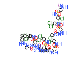 CNC(=O)c1n[nH]c2ccc(S(=O)(=O)Nc3ccc(Cl)c(Cl)c3)cc12.NC(=O)c1n[nH]c2ccc(S(=O)(=O)Nc3ccc(Cl)c(Cl)c3)cc12.O=C(Nc1ccccc1)c1n[nH]c2ccc(S(=O)(=O)Nc3ccc(Cl)c(Cl)c3)cc12.O=C(Nc1n[nH]c2ccc(S(=O)(=O)Nc3ccc(Cl)c(Cl)c3)cc12)c1ccccc1.O=S(=O)(Nc1ccc(Cl)c(Cl)c1)c1ccc2[nH]nc(I)c2c1.O=S(=O)(O)c1ccc2[nH]ncc2c1